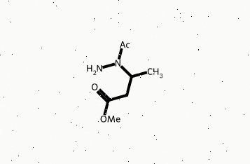 COC(=O)CC(C)N(N)C(C)=O